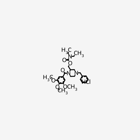 CCN(CC)C(=O)OCC1CN(Cc2ccccc2)CCN1C(=O)c1cc(OC)c(OC)c(OC)c1.Cl